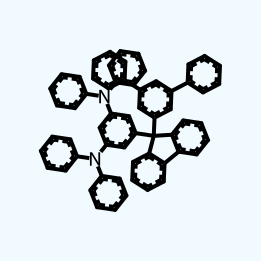 c1ccc(-c2cc(-c3ccccc3)cc(C3(c4cc(N(c5ccccc5)c5ccccc5)cc(N(c5ccccc5)c5ccccc5)c4)c4ccccc4-c4ccccc43)c2)cc1